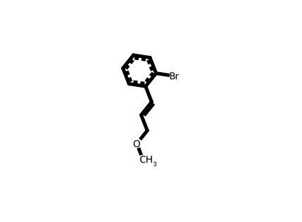 COCC=Cc1ccccc1Br